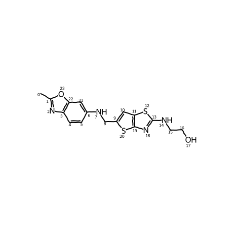 Cc1nc2ccc(NCc3cc4sc(NCCO)nc4s3)cc2o1